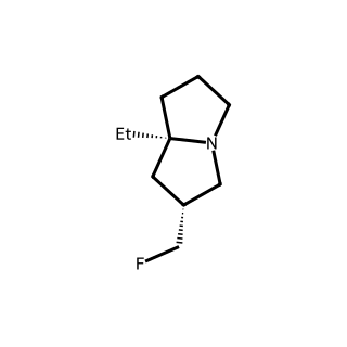 CC[C@]12CCCN1C[C@H](CF)C2